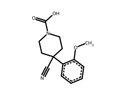 COc1ccccc1C1(C#N)CCN(C(=O)O)CC1